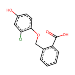 O=C(O)c1ccccc1COc1ccc(O)cc1Cl